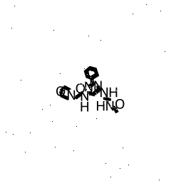 CC(=O)NCCNc1cc(NC(=O)CN2CCOCC2)nc(-c2ccccc2)n1